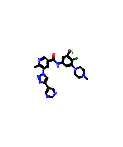 Cc1ncc(C(=O)Nc2cc(N3CCN(C)CC3)c(F)c(C(F)(F)F)c2)cc1-n1cc(-c2cncnc2)nn1